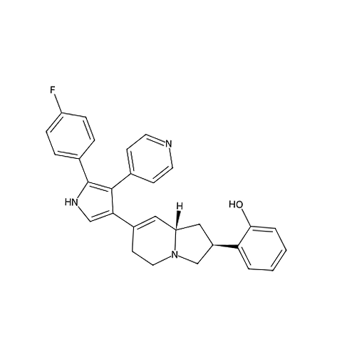 Oc1ccccc1[C@@H]1C[C@H]2C=C(c3c[nH]c(-c4ccc(F)cc4)c3-c3ccncc3)CCN2C1